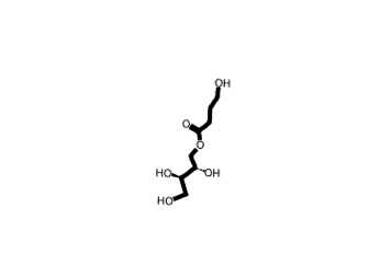 O=C(CCCO)OC[C@H](O)[C@H](O)CO